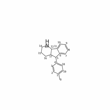 Cc1ccc(C2c3ccccc3C3NCCCC32)cc1